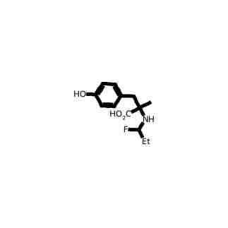 CCC(F)NC(C)(Cc1ccc(O)cc1)C(=O)O